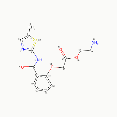 Cc1cnc(NC(=O)c2ccccc2OCC(=O)OCCN)s1